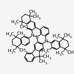 Cc1cc2c(cc1N1c3cc4c(cc3B3c5c(cccc51)-c1cc5c(cc1N3c1ccc3c(c1)C(C)(C)CCC3(C)C)C(C)(C)CCC5(C)C)-c1ccccc1C4(C)C)C(C)(C)CCC2(C)C